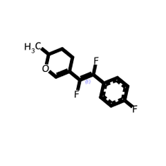 CC1CCC(/C(F)=C(\F)c2ccc(F)cc2)=CO1